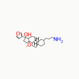 CO[C@@]12CCC(O)(c3ccoc3)[C@@]1(C)CC[C@@H]1[C@H]2CCC2CCC(CCCN)C[C@@]21C